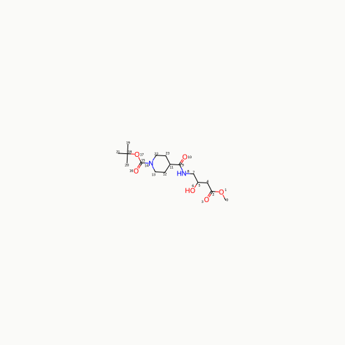 COC(=O)CC(O)CNC(=O)C1CCN(C(=O)OC(C)(C)C)CC1